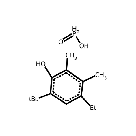 CCc1cc(C(C)(C)C)c(O)c(C)c1C.O=[PH2]O